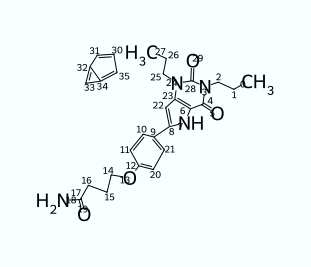 CCCn1c(=O)c2[nH]c(-c3ccc(OCCCC(N)=O)cc3)cc2n(CCC)c1=O.c1cc2cc-2c1